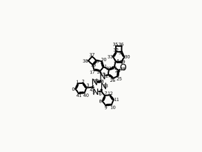 c1ccc(-c2nc(-c3ccccc3)nc(-n3c4cc5c(cc4c4c6c(ccc43)oc3cc4c(cc36)CC4)CC5)n2)cc1